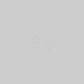 CC(=O)C(c1ccc(C)cc1)c1ccc(Cl)cc1